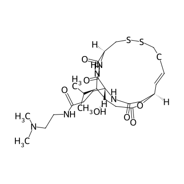 CC(C)[C@H]1NC(=O)[C@H]2CSSCC/C=C/[C@H](CC(=O)N[C@H](CCC(=O)NCCN(C)C)C(=O)N2)OC(=O)C[C@@H]1O